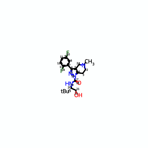 CN1CCc2c(c(-c3cc(F)ccc3F)nn2C(=O)N[C@H](CO)C(C)(C)C)C1